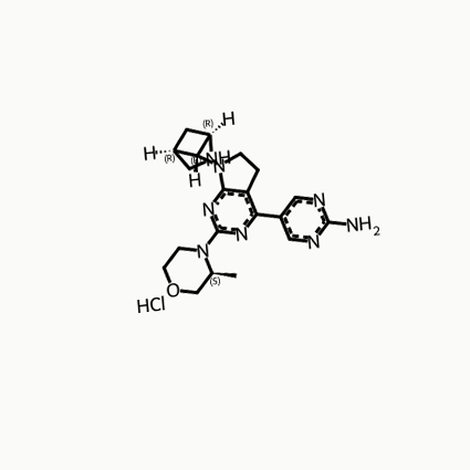 C[C@H]1COCCN1c1nc(-c2cnc(N)nc2)c2c(n1)N([C@@H]1[C@H]3CN[C@@H]1C3)CC2.Cl